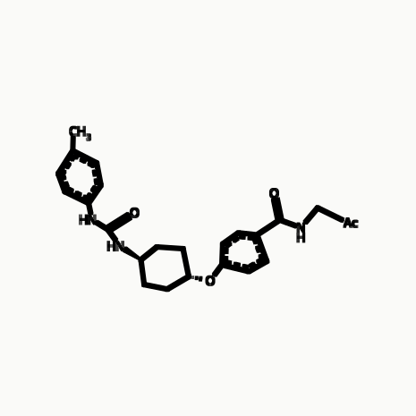 CC(=O)CNC(=O)c1ccc(O[C@H]2CC[C@H](NC(=O)Nc3ccc(C)cc3)CC2)cc1